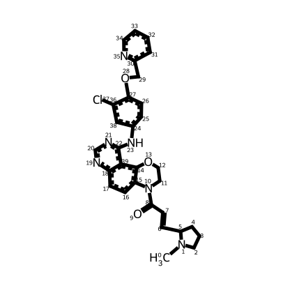 CN1CCCC1/C=C/C(=O)N1CCOc2c1ccc1ncnc(Nc3ccc(OCc4ccccn4)c(Cl)c3)c21